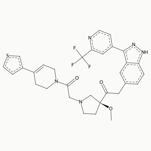 CO[C@@]1(C(=O)Cc2ccc3[nH]nc(-c4ccnc(C(F)(F)F)c4)c3c2)CCN(CC(=O)N2CC=C(c3ccsc3)CC2)C1